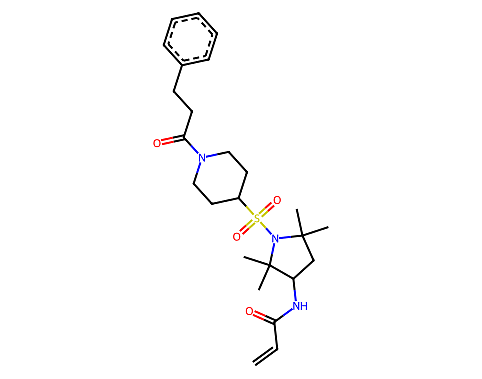 C=CC(=O)NC1CC(C)(C)N(S(=O)(=O)C2CCN(C(=O)CCc3ccccc3)CC2)C1(C)C